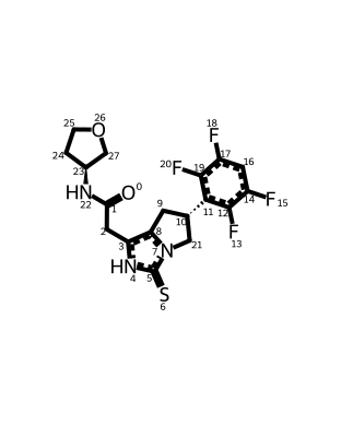 O=C(Cc1[nH]c(=S)n2c1C[C@H](c1c(F)c(F)cc(F)c1F)C2)N[C@H]1CCOC1